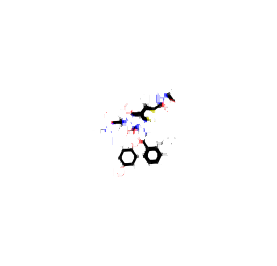 CCNC(=O)C(C)(C)n1c(=O)c2c(C)c(-c3ncco3)sc2n(C[C@H](O[C@H]2CC[C@@H](O)CC2)c2ccccc2OC)c1=O